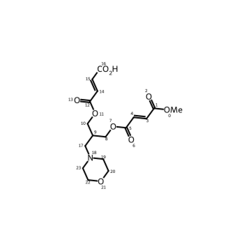 COC(=O)/C=C/C(=O)OCC(COC(=O)/C=C/C(=O)O)CN1CCOCC1